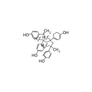 C=C(CC(C)(CC(C)(CC(C)(C)C1=C=C=C(O)C=C1)C1=CC=C(O)CC1)c1ccc(O)cc1)c1ccc(O)cc1